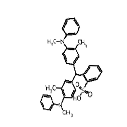 Cc1cc(C(c2ccc(N(C)c3ccccc3)c(C)c2)c2ccccc2S(=O)(=O)O)ccc1N(C)c1ccccc1